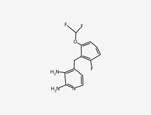 Nc1nccc(Cc2c(F)cccc2OC(F)F)c1N